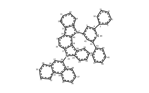 c1ccc(-c2cc(-n3c4ccccc4c4ccc5c(c6ccccc6n5-c5cc6ccccc6c6ccccc56)c43)cc(-c3ccccc3)n2)cc1